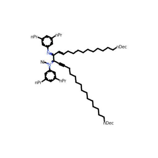 CCCCCCCCCCCCCCCCCCCCC=CC(=Nc1cc(CCC)cc(CCC)c1)C(C#CCCCCCCCCCCCCCCCCCCCCCCC)=[N+]([Ni])c1cc(CCC)cc(CCC)c1